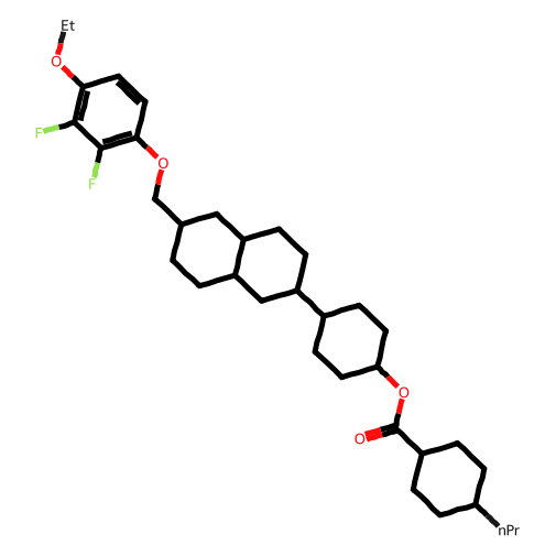 CCCC1CCC(C(=O)OC2CCC(C3CCC4CC(COc5ccc(OCC)c(F)c5F)CCC4C3)CC2)CC1